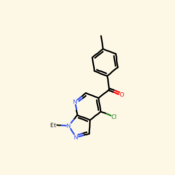 CCn1ncc2c(Cl)c(C(=O)c3ccc(C)cc3)cnc21